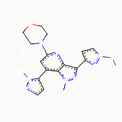 C[C@@H]1COCCN1c1cc(-c2ccnn2C)c2c(n1)c(-c1ccn(PI)n1)nn2C